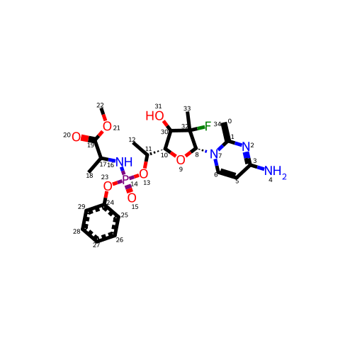 C=C1N=C(N)C=CN1[C@@H]1O[C@H](C(C)OP(=O)(NC(C)C(=O)OC)Oc2ccccc2)C(O)C1(C)F